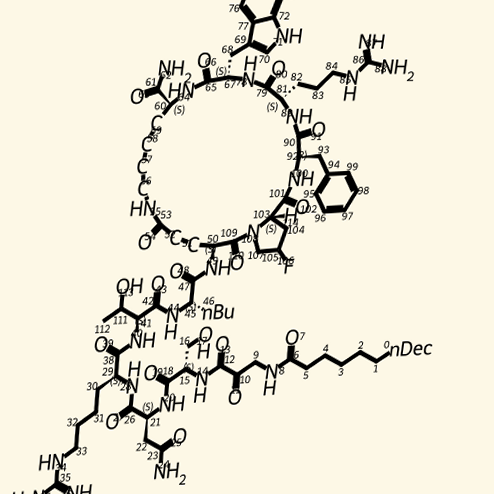 CCCCCCCCCCCCCCCC(=O)NCC(=O)C(=O)N[C@@H](CO)C(=O)N[C@@H](CC(N)=O)C(=O)N[C@@H](CCCCNC(=N)N)C(=O)N[C@H](C(=O)N[C@@H](CCCC)C(=O)N[C@H]1CCC(=O)NCCCC[C@@H](C(N)=O)NC(=O)[C@H](Cc2c[nH]c3ccccc23)NC(=O)[C@H](CCCNC(=N)N)NC(=O)[C@@H](Cc2ccccc2)NC(=O)[C@@H]2CC(F)CN2C1=O)C(C)O